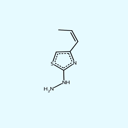 C/C=C\c1csc(NN)n1